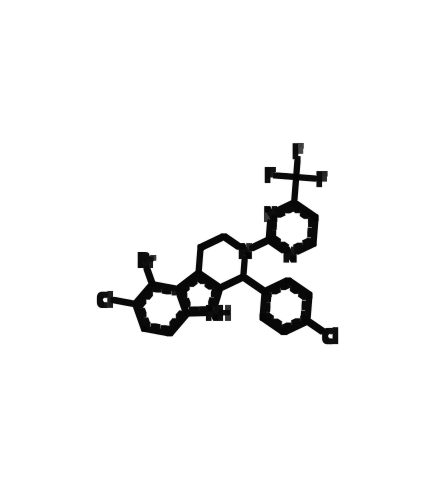 FC(F)(F)c1ccnc(N2CCc3c([nH]c4ccc(Cl)c(Br)c34)C2c2ccc(Cl)cc2)n1